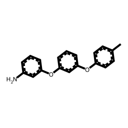 Cc1ccc(Oc2cccc(Oc3cccc(N)c3)c2)cc1